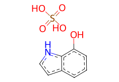 O=S(=O)(O)O.Oc1cccc2cc[nH]c12